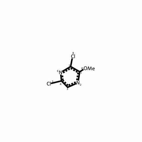 COc1ncc(Cl)nc1Cl